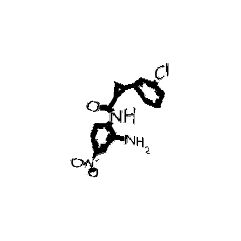 Nc1cc([N+](=O)[O-])ccc1NC(=O)C1CC1c1cccc(Cl)c1